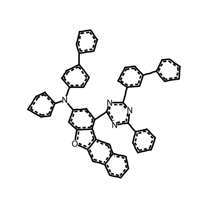 c1ccc(-c2ccc(N(c3ccccc3)c3cc(-c4nc(-c5ccccc5)nc(-c5cccc(-c6ccccc6)c5)n4)c4c(c3)oc3cc5ccccc5cc34)cc2)cc1